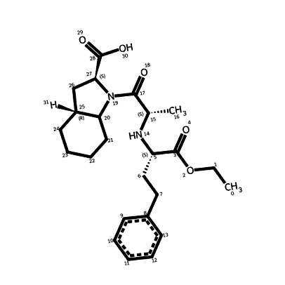 CCOC(=O)[C@H](CCc1ccccc1)N[C@@H](C)C(=O)N1C2CCCC[C@@H]2C[C@H]1C(=O)O